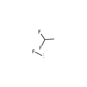 CC(F)F.[C]F